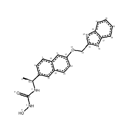 C[C@H](NC(=O)NO)c1ccc2cc(OCc3nc4ccccc4s3)ccc2c1